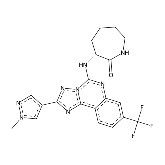 Cn1cc(-c2nc3c4ccc(C(F)(F)F)cc4nc(N[C@@H]4CCCCNC4=O)n3n2)cn1